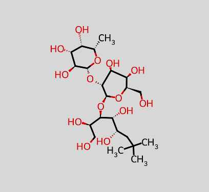 C[C@@H]1O[C@H](O[C@H]2[C@H](O[C@@H]([C@H](O)[C@@H](O)CC(C)(C)C)[C@H](O)CO)O[C@H](CO)[C@H](O)[C@@H]2O)[C@@H](O)[C@H](O)[C@@H]1O